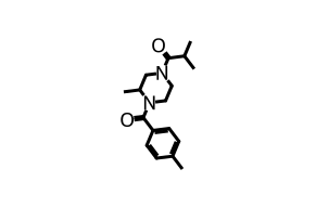 Cc1ccc(C(=O)N2CCN(C(=O)C(C)C)CC2C)cc1